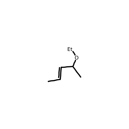 CC=CC(C)OCC